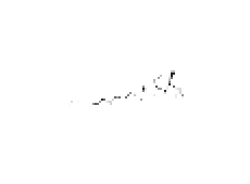 COCCCCCCNC(=O)OC1CC[C@]2(CO2)C(C(C)C)C1OC